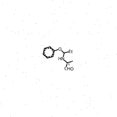 CCC(N[C@@H](C)C=O)Oc1ccccc1